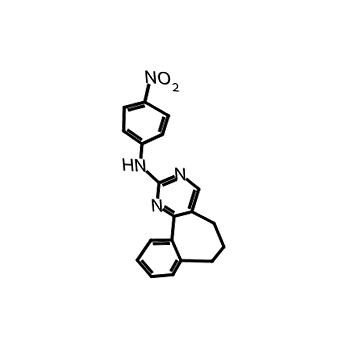 O=[N+]([O-])c1ccc(Nc2ncc3c(n2)-c2ccccc2CCC3)cc1